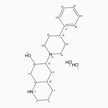 Cl.Cl.OC1CC2NCCCC2CC1N1CCC(c2ccccc2)CC1